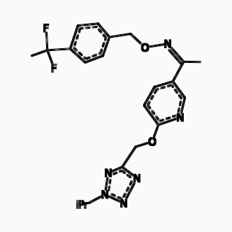 CC(=NOCc1ccc(C(C)(F)F)cc1)c1ccc(OCc2nnn(C(C)C)n2)nc1